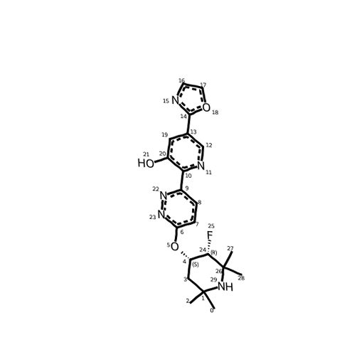 CC1(C)C[C@H](Oc2ccc(-c3ncc(-c4ncco4)cc3O)nn2)[C@H](F)C(C)(C)N1